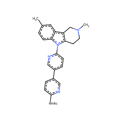 CC(=O)Nc1ccc(-c2ccc(-n3c4c(c5cc(C)ccc53)CN(C)CC4)nc2)cn1